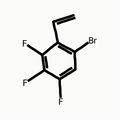 C=Cc1c(Br)cc(F)c(F)c1F